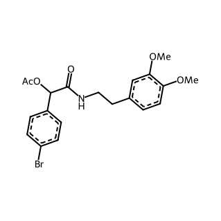 COc1ccc(CCNC(=O)C(OC(C)=O)c2ccc(Br)cc2)cc1OC